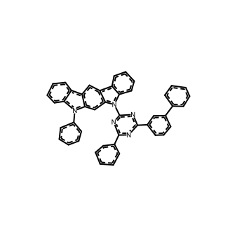 c1ccc(-c2cccc(-c3nc(-c4ccccc4)nc(-n4c5ccccc5c5cc6c7ccccc7n(-c7ccccc7)c6cc54)n3)c2)cc1